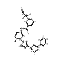 Cc1ccc(NC(=O)c2cccc(C(C)(C)C#N)c2)cc1-n1cc(-c2cncc(-c3cccnc3)c2)cn1